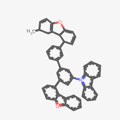 CC1C=CC2=C(C1)C1C(=CC=CC1c1cccc(-c3cc(-c4cccc5oc6ccccc6c45)cc(-n4c5ccccc5c5ccccc54)c3)c1)O2